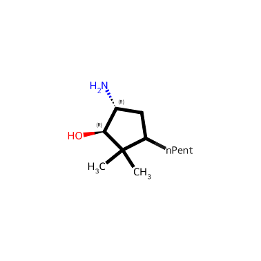 CCCCCC1C[C@@H](N)[C@H](O)C1(C)C